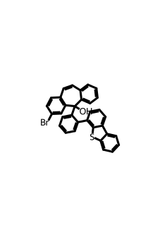 OC1(c2ccccc2-c2cccc3c2sc2ccccc23)c2ccccc2C=Cc2ccc(Br)cc21